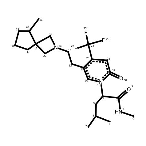 CNC(=O)C(CC(C)C)n1cc(CCN2CC3(CCCC3C)C2)c(C(F)(F)F)cc1=O